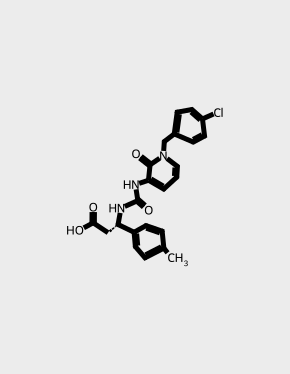 Cc1ccc([C@H](CC(=O)O)NC(=O)Nc2cccn(Cc3ccc(Cl)cc3)c2=O)cc1